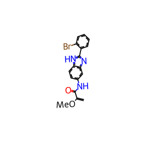 C=C(OC)C(=O)Nc1ccc2[nH]c(-c3ccccc3Br)nc2c1